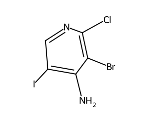 Nc1c(I)cnc(Cl)c1Br